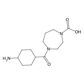 NC1CCC(C(=O)N2CCCN(C(=O)O)CC2)CC1